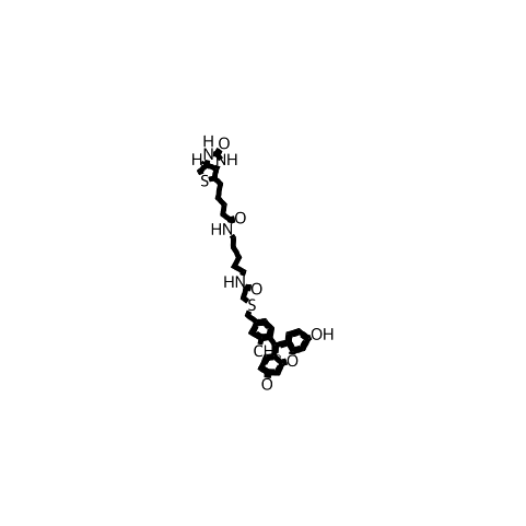 Cc1cc(CSCC(=O)NCCCCCNC(=O)CCCCC2SC[C@@H]3NC(=O)NC23)ccc1-c1c2ccc(=O)cc-2oc2cc(O)ccc12